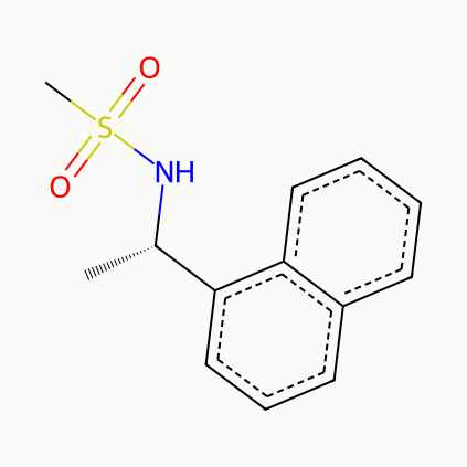 C[C@H](NS(C)(=O)=O)c1cccc2ccccc12